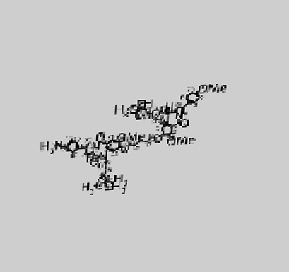 COc1ccc(C2=CN3C(=O)c4cc(OC)c(OCCCCCOc5cc6c(cc5OC)C(=O)N5C=C(c7ccc(N)cc7)C[C@H]5C(=O)N6COCC[Si](C)(C)C)cc4N(COCC[Si](C)(C)C)C(=O)[C@@H]3C2)cc1